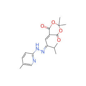 Cc1ccc(N/N=C(\C=C2C(=O)OC(C)(C)OC2=O)C(C)C)nc1